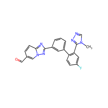 Cn1cnnc1-c1cc(F)ccc1-c1cccc(-c2nc3ccc(C=O)cn3n2)c1